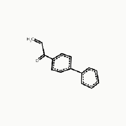 C=CC(=O)c1ccc(-c2ccccc2)cc1